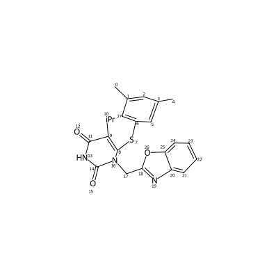 Cc1cc(C)cc(Sc2c(C(C)C)c(=O)[nH]c(=O)n2Cc2nc3ccccc3o2)c1